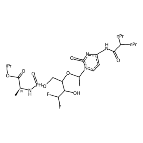 CCCC(CCC)C(=O)Nc1ccn(C(C)OC(CO[PH](=O)N[C@@H](C)C(=O)OC(C)C)C(O)C(F)F)c(=O)n1